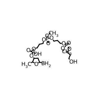 BC1CC(OP(=O)(O)OCCCOP(=O)(OC)OCCCOP(=O)(OC)OCCCO)C(C)O1